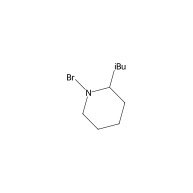 CCC(C)C1CCCCN1Br